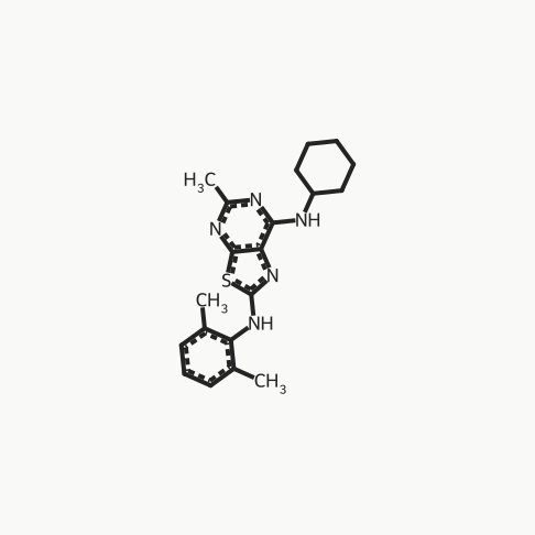 Cc1nc(NC2CCCCC2)c2nc(Nc3c(C)cccc3C)sc2n1